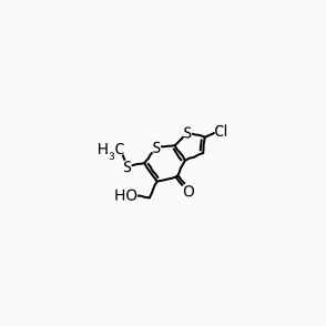 CSc1sc2sc(Cl)cc2c(=O)c1CO